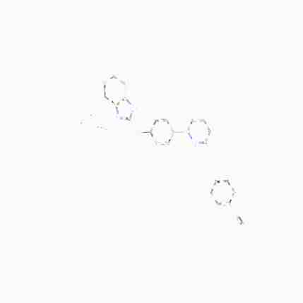 C#Cc1ccc(COc2cccc(-c3cc(F)c(Cc4nc5ccc(C(=O)O)cc5n4CC4CCO4)c(F)c3)n2)c(F)c1